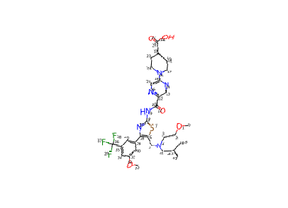 COCCN(Cc1sc(NC(=O)c2cnc(N3CCC(C(=O)O)CC3)cn2)nc1-c1cc(OC)cc(C(F)(F)F)c1)CC(C)C